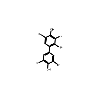 CCCc1c(-c2cc(Br)c(O)c(Br)c2)cc(Br)c(O)c1Br